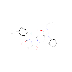 CCc1ccc(F)c(C(=O)NC(C(=O)N2CCC3(CC2)C(=O)N(CC(=O)O)CN3c2ccccc2)C(C)C)c1